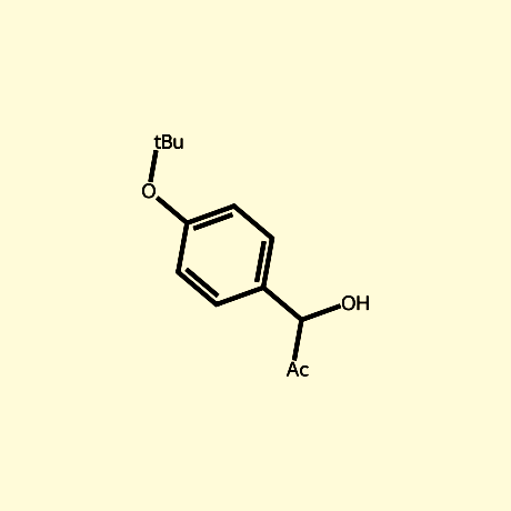 CC(=O)C(O)c1ccc(OC(C)(C)C)cc1